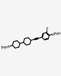 CCCCCc1ccc(C#CC2CCC(C3CCC(CCCCC)CC3)CC2)cc1F